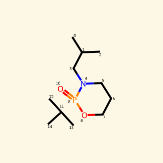 CC(C)CN1CCCO[P@@]1(=O)C(C)(C)C